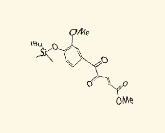 COC(=O)/C=C/C(=O)C(=O)c1ccc(O[Si](C)(C)C(C)(C)C)c(OC)c1